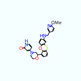 COc1ccc(CNc2ccc3c(c2)Sc2cccc(C4CN(c5cc[nH]c(=O)c5)CCO4)c2O3)cn1